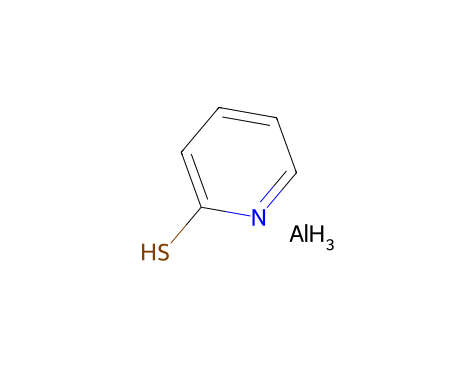 Sc1ccccn1.[AlH3]